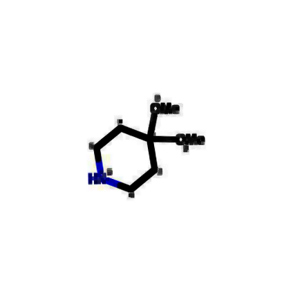 COC1(OC)CCNCC1